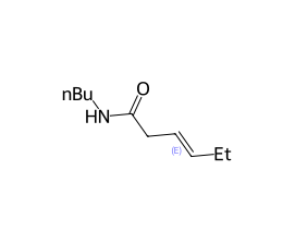 CC/C=C/CC(=O)NCCCC